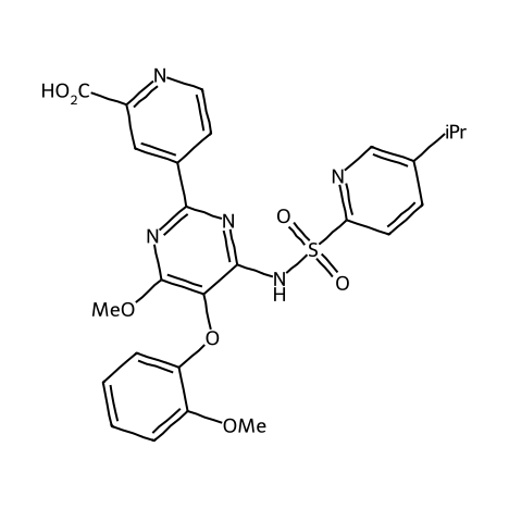 COc1ccccc1Oc1c(NS(=O)(=O)c2ccc(C(C)C)cn2)nc(-c2ccnc(C(=O)O)c2)nc1OC